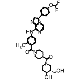 Cc1cc(Nc2nccn3c(-c4ccc(OC(F)F)cc4)cnc23)ccc1C(=O)N1CCC(C(=O)N2CC[C@H](O)[C@@H](CO)C2)CC1